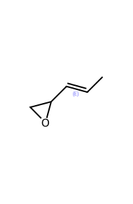 C/C=C/C1CO1